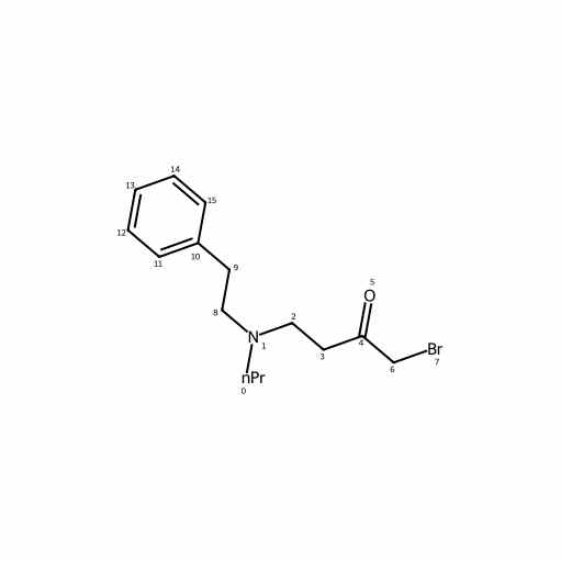 CCCN(CCC(=O)CBr)CCc1ccccc1